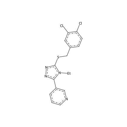 CCn1c(SCc2ccc(Cl)c(Cl)c2)nnc1-c1cccnc1